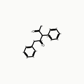 CC(=O)C(C(=O)Cc1ccccc1)c1ccccc1